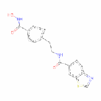 O=C(NO)c1ccc(CCNC(=O)c2ccc3ncsc3c2)cc1